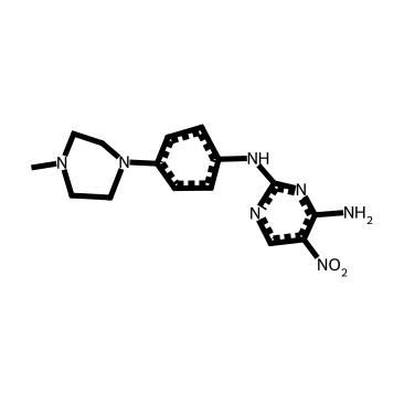 CN1CCN(c2ccc(Nc3ncc([N+](=O)[O-])c(N)n3)cc2)CC1